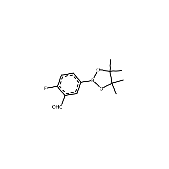 CC1(C)OB(c2ccc(F)c(C=O)c2)OC1(C)C